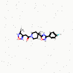 Cc1nonc1CC(=O)N1CCC(C)(c2nc(-c3ccc(F)cc3)no2)CC1